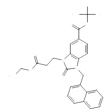 CCOC(=O)CCn1c(=O)n(Cc2cccc3ccccc23)c2ccc(C(=O)OC(C)(C)C)cc21